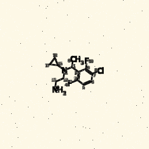 CC(c1c(F)ccc(Cl)c1F)N(CCN)C1CC1